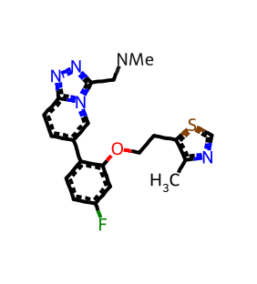 CNCc1nnc2ccc(-c3ccc(F)cc3OCCc3scnc3C)cn12